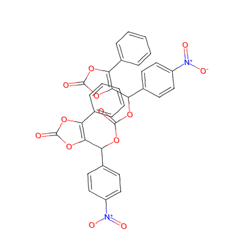 O=C(OC(c1ccc([N+](=O)[O-])cc1)c1oc(=O)oc1-c1ccccc1)OC(c1ccc([N+](=O)[O-])cc1)c1oc(=O)oc1-c1ccccc1